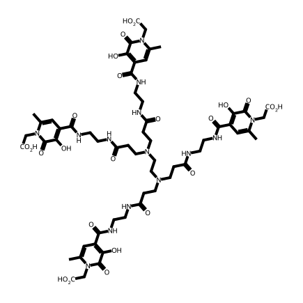 Cc1cc(C(=O)NCCNC(=O)CCN(CCC(=O)NCCNC(=O)c2cc(C)n(CC(=O)O)c(=O)c2O)CCN(CCC(=O)NCCNC(=O)c2cc(C)n(CC(=O)O)c(=O)c2O)CCC(=O)NCCNC(=O)c2cc(C)n(CC(=O)O)c(=O)c2O)c(O)c(=O)n1CC(=O)O